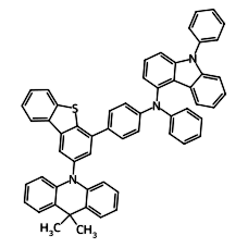 CC1(C)c2ccccc2N(c2cc(-c3ccc(N(c4ccccc4)c4cccc5c4c4ccccc4n5-c4ccccc4)cc3)c3sc4ccccc4c3c2)c2ccccc21